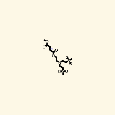 COC(=O)/C=C/C(=O)OCCN(CCS(C)(=O)=O)CCS(C)(=O)=O